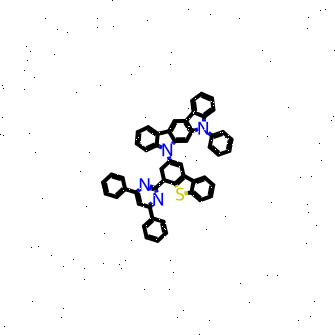 C1=C(n2c3ccccc3c3cc4c5ccccc5n(-c5ccccc5)c4cc32)CC(c2nc(-c3ccccc3)cc(-c3ccccc3)n2)c2sc3ccccc3c21